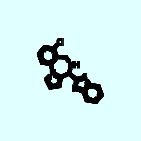 Clc1cccc2c1CNC(c1nc3ccccc3s1)c1cccn1-2